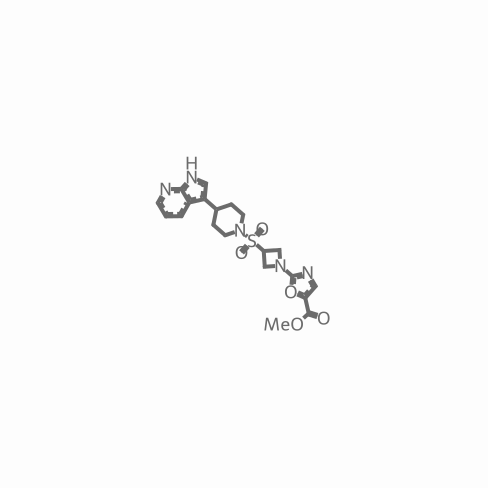 COC(=O)c1cnc(N2CC(S(=O)(=O)N3CCC(c4c[nH]c5ncccc45)CC3)C2)o1